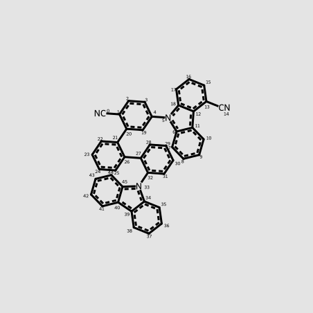 N#Cc1ccc(-n2c3ccccc3c3c(C#N)cccc32)cc1-c1ccccc1-c1ccccc1-n1c2ccccc2c2ccccc21